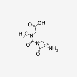 CN(CC(=O)O)C(=O)N1C[C@H](N)C1=O